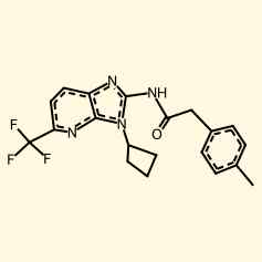 Cc1ccc(CC(=O)Nc2nc3ccc(C(F)(F)F)nc3n2C2CCC2)cc1